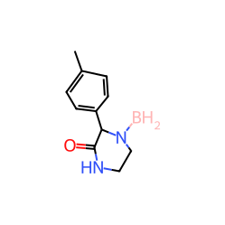 BN1CCNC(=O)C1c1ccc(C)cc1